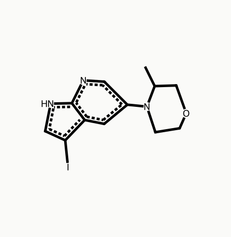 CC1COCCN1c1cnc2[nH]cc(I)c2c1